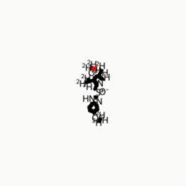 [2H]c1nc(C[S@+]([O-])c2nc3cc(OC([2H])([2H])[2H])ccc3[nH]2)c(C([2H])([2H])[2H])c(OC([2H])([2H])[2H])c1C([2H])([2H])[2H]